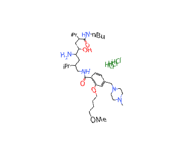 CCCCNC(=O)C(CC(O)C(N)CC(CNC(=O)c1ccc(CN2CCN(C)CC2)cc1OCCCCOC)C(C)C)C(C)C.Cl.Cl.Cl